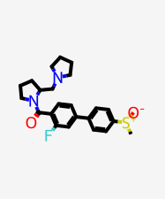 C[S+]([O-])c1ccc(-c2ccc(C(=O)N3CCCC3CN3CCCC3)c(F)c2)cc1